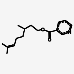 CC(C)=CCCC(C)CCOC(=O)c1cccnc1